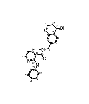 O=C(NCc1ccc2c(c1)OCCC2O)c1cccnc1Oc1cccnc1